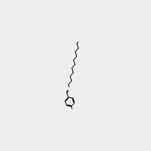 CCCCCCCCCCCCN=Cc1ccc(O)cc1